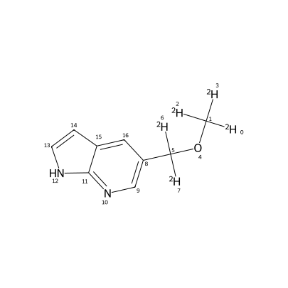 [2H]C([2H])([2H])OC([2H])([2H])c1cnc2[nH]ccc2c1